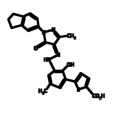 CC1=NN(c2ccc3c(c2)CCC3)C(=O)C1=NNc1cc(C)cc(-c2ccc(C(=O)O)s2)c1O